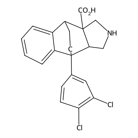 O=C(O)C12CNCC1C1(c3ccc(Cl)c(Cl)c3)CCC2c2ccccc21